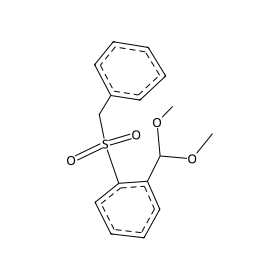 COC(OC)c1ccccc1S(=O)(=O)Cc1ccccc1